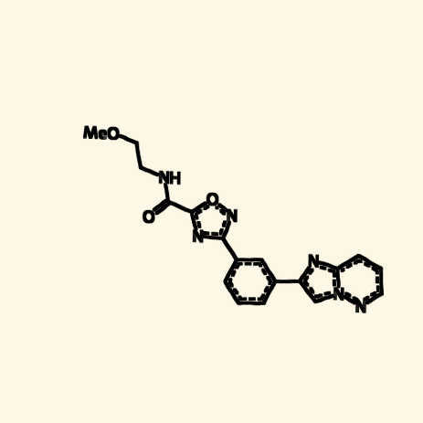 COCCNC(=O)c1nc(-c2cccc(-c3cn4ncccc4n3)c2)no1